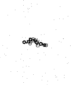 O=C1c2cc(Oc3nc4nc(-c5ccc(N6CCOCC6)cc5)c(Cl)cc4[nH]3)ccc2CN1Cc1ccccc1